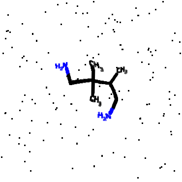 CC(CN)C(C)(C)CN